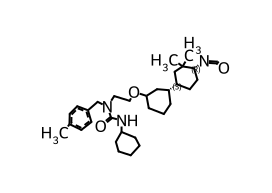 Cc1ccc(CN(CCOC2CCCC([C@H]3CC[C@@H](N=C=O)C(C)(C)C3)C2)C(=O)NC2CCCCC2)cc1